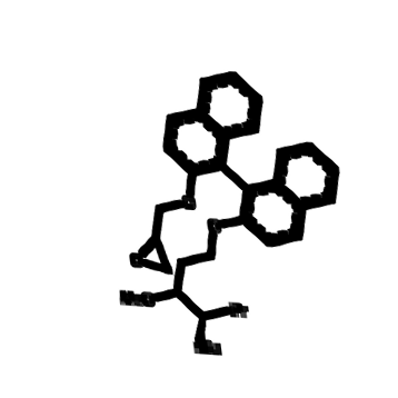 CCCC[C@H](C(C)C)C(CCOc1ccc2ccccc2c1-c1c(OCC2CO2)ccc2ccccc12)OC